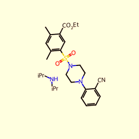 CC(C)NC(C)C.CCOC(=O)c1cc(S(=O)(=O)N2CCN(c3ccccc3C#N)CC2)c(C)cc1C